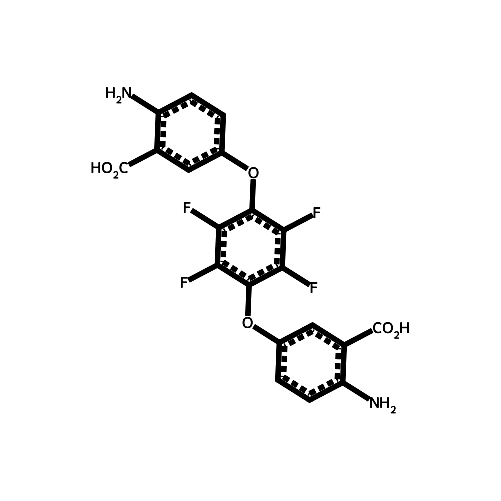 Nc1ccc(Oc2c(F)c(F)c(Oc3ccc(N)c(C(=O)O)c3)c(F)c2F)cc1C(=O)O